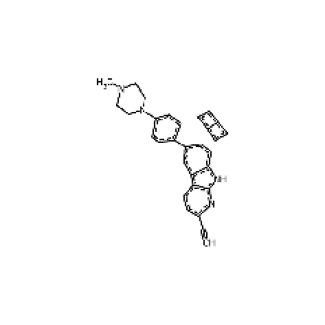 C#Cc1ccc2c(n1)[nH]c1ccc(-c3ccc(N4CCN(C)CC4)cc3)cc12.c1cc2ccc1-2